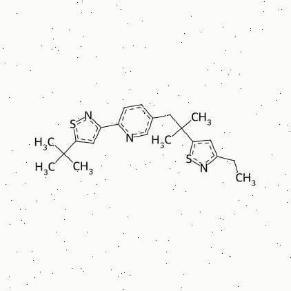 CCc1cc(C(C)(C)Cc2ccc(-c3cc(C(C)(C)C)sn3)nc2)sn1